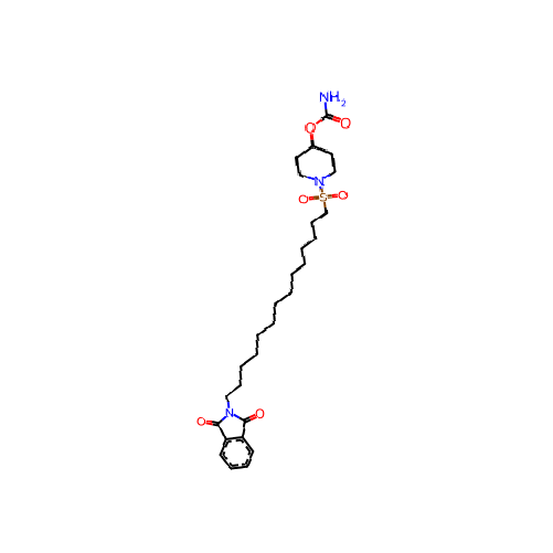 NC(=O)OC1CCN(S(=O)(=O)CCCCCCCCCCCCCCN2C(=O)c3ccccc3C2=O)CC1